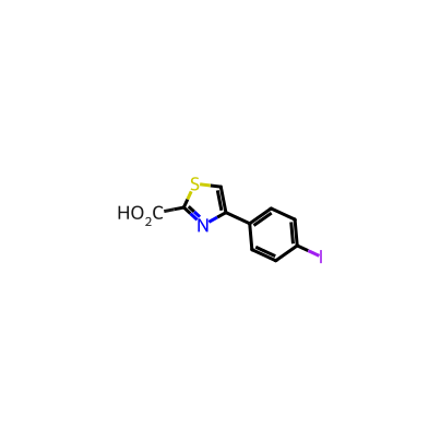 O=C(O)c1nc(-c2ccc(I)cc2)cs1